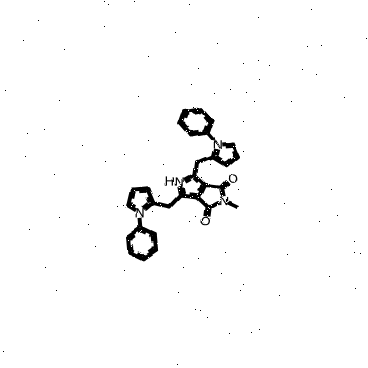 CN1C(=O)c2c(Cc3cccn3-c3ccccc3)[nH]c(Cc3cccn3-c3ccccc3)c2C1=O